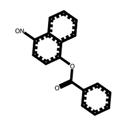 O=Nc1ccc(OC(=O)c2ccccc2)c2ccccc12